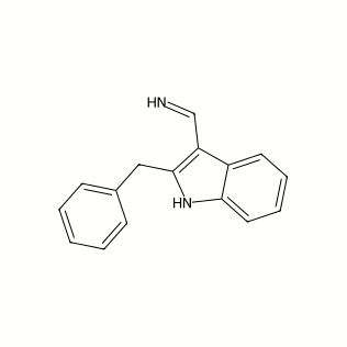 N=Cc1c(Cc2ccccc2)[nH]c2ccccc12